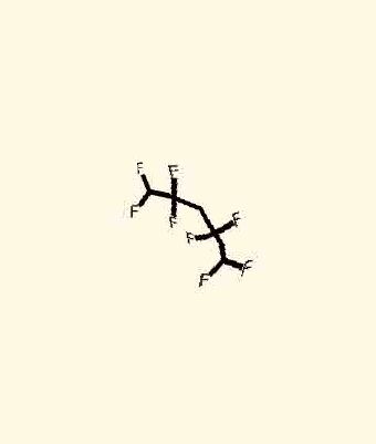 FC(F)C(F)(F)CC(F)(F)C(F)F